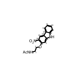 CC(=O)NCCOc1cc2[nH]c3ccccc3c2cc1[N+](=O)[O-]